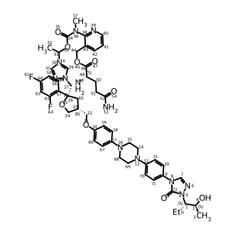 CC[C@@H]([C@H](C)O)n1ncn(-c2ccc(N3CCN(c4ccc(OC[C@@H]5CO[C@@](Cn6c[n+](C(C)OC(=O)N(C)c7ncccc7COC(=O)[C@@H](N)CCC(N)=O)cn6)(c6ccc(F)cc6F)C5)cc4)CC3)cc2)c1=O